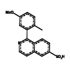 COc1ccc(C)c(-c2nccc3cc(S(=O)(=O)O)ccc23)c1